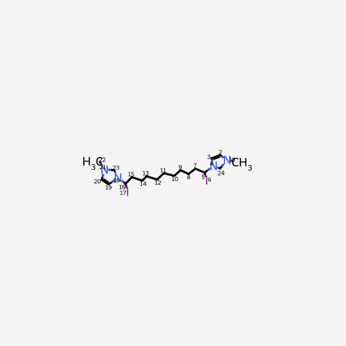 CN1C=CN(C(I)CCCCCCCCCC(I)N2C=CN(C)C2)C1